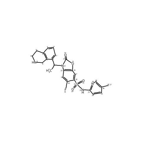 CC(c1cccc2c1CNCC2)n1c(=O)oc2cc(S(=O)(=O)Nc3ccc(F)cn3)c(F)cc21